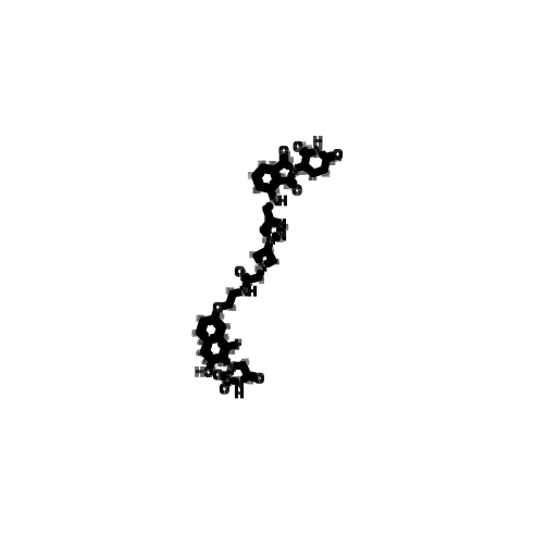 O=C(CN1CC(n2cc(CNc3cccc4c3C(=O)N(C3CCC(=O)NC3=O)C4=O)nn2)C1)NCCOc1ccc2cc(O)c(N3CC(=O)NS3(=O)=O)c(F)c2c1